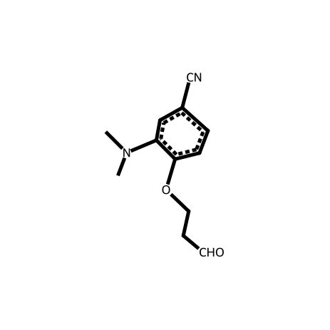 CN(C)c1cc(C#N)ccc1OCCC=O